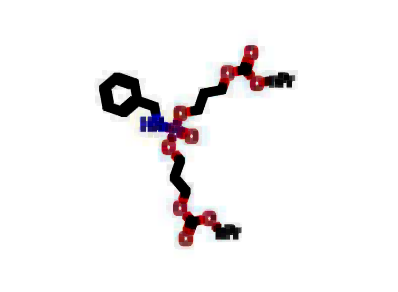 CCCOC(=O)OCCCOP(=O)(NCc1ccccc1)OCCCOC(=O)OCCC